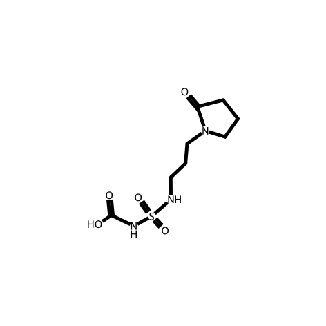 O=C(O)NS(=O)(=O)NCCCN1CCCC1=O